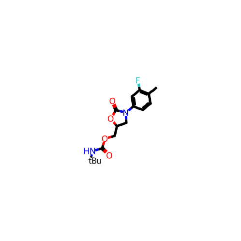 Cc1ccc(N2CC(COC(=O)NC(C)(C)C)OC2=O)cc1F